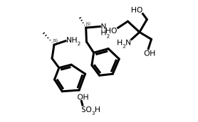 C[C@H](N)Cc1ccccc1.C[C@H](N)Cc1ccccc1.NC(CO)(CO)CO.O=S(=O)(O)O